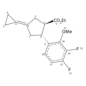 CCOC(=O)[C@@H]1CC(=C2CC2)C[C@H]1c1ccc(F)c(F)c1OC